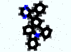 c1ccc(-n2c3ccccc3c3ccccc32)c(-c2ccc3c(c2)c2ccccc2c2nccnc32)c1